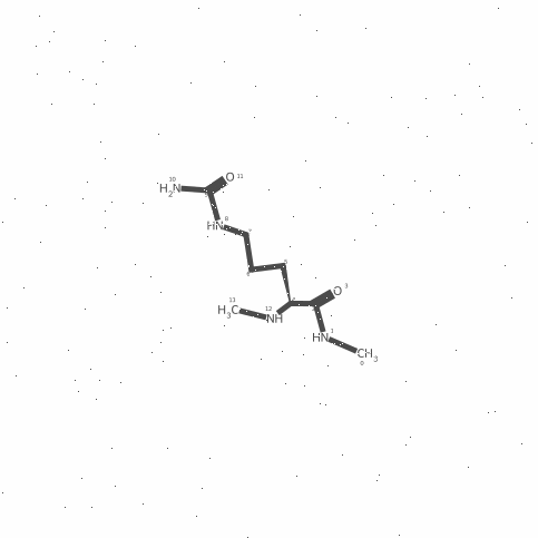 CNC(=O)[C@H](CCCNC(N)=O)NC